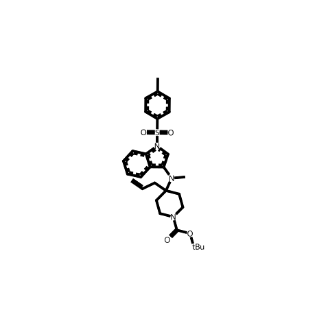 C=CCC1(N(C)c2cn(S(=O)(=O)c3ccc(C)cc3)c3ccccc23)CCN(C(=O)OC(C)(C)C)CC1